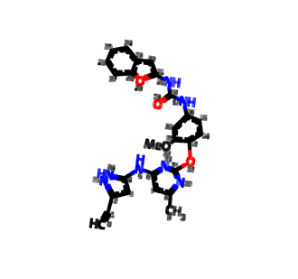 C#Cc1cc(Nc2cc(C)nc(Oc3ccc(NC(=O)Nc4cc5ccccc5o4)cc3OC)n2)[nH]n1